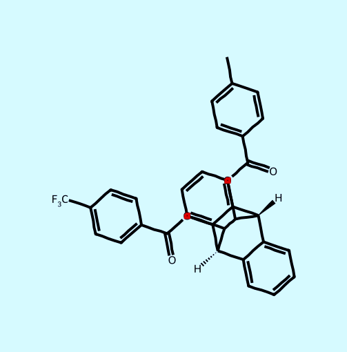 Cc1ccc(C(=O)OC2C(OC(=O)c3ccc(C(F)(F)F)cc3)[C@H]3c4ccccc4[C@H]2c2ccccc23)cc1